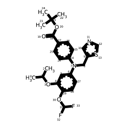 CC(C)Oc1cc(N(Cc2cncs2)c2ccc(C(=O)OC(C)(C)C)cc2)ccc1OC(F)F